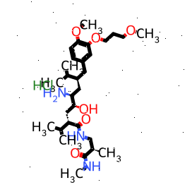 CNC(=O)[C@@H](C)CNC(=O)[C@@H](C[C@H](O)[C@@H](N)C[C@H](Cc1ccc(OC)c(OCCCOC)c1)C(C)C)C(C)C.Cl